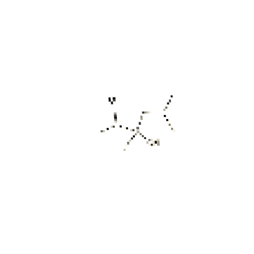 CC(C)CC(C)(O)C(C)O